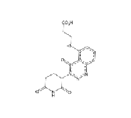 O=C(O)CCNc1cccc2nnn(C3CCC(=O)NC3=O)c(=O)c12